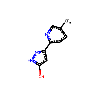 Oc1cc(-c2ccc(C(F)(F)F)cn2)n[nH]1